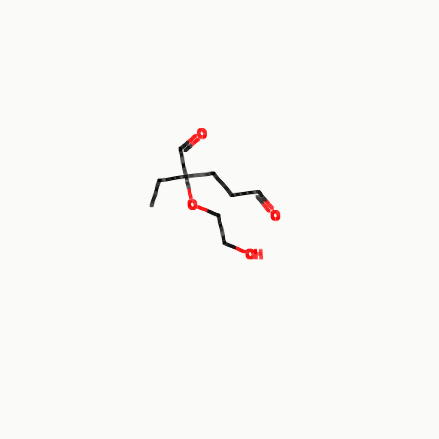 CCC(C=O)(CCC=O)OCCO